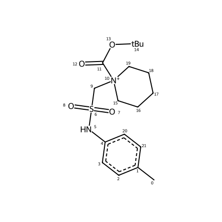 Cc1ccc(NS(=O)(=O)C[N+]2(C(=O)OC(C)(C)C)CCCCC2)cc1